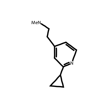 CNCCc1ccnc(C2CC2)c1